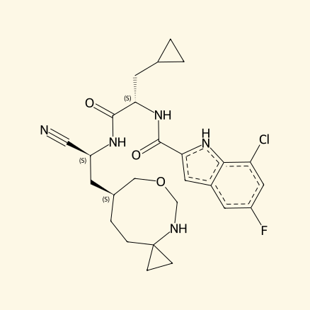 N#C[C@H](C[C@@H]1CCC2(CC2)NCOC1)NC(=O)[C@H](CC1CC1)NC(=O)c1cc2cc(F)cc(Cl)c2[nH]1